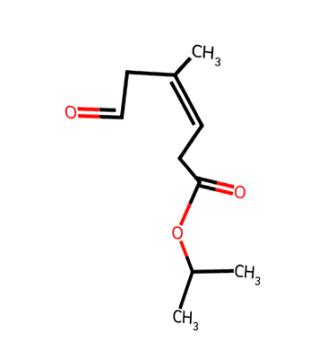 CC(=CCC(=O)OC(C)C)CC=O